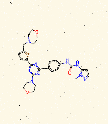 Cn1nccc1NC(=O)Nc1ccc(-c2nc(-c3ccc(CN4CCOCC4)s3)nc(N3CCOCC3)n2)cc1